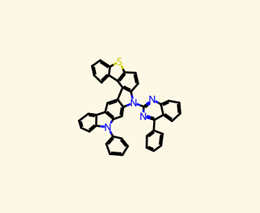 c1ccc(-c2nc(-n3c4cc5c(cc4c4c6c(ccc43)sc3ccccc36)c3ccccc3n5-c3ccccc3)nc3ccccc23)cc1